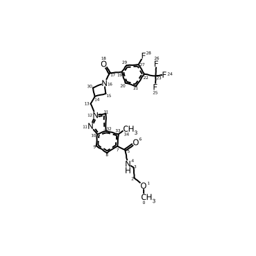 COCCNC(=O)c1ccc2nn(CC3CN(C(=O)c4ccc(C(F)(F)F)c(F)c4)C3)cc2c1C